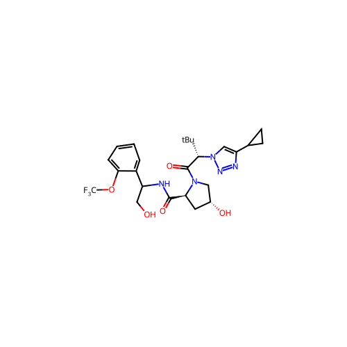 CC(C)(C)[C@@H](C(=O)N1C[C@H](O)C[C@H]1C(=O)NC(CO)c1ccccc1OC(F)(F)F)n1cc(C2CC2)nn1